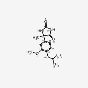 COc1cc(C2(C)NC(=O)NC2=O)ccc1OC(C)C